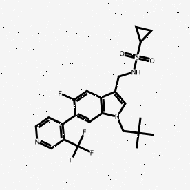 CC(C)(C)Cn1cc(CNS(=O)(=O)C2CC2)c2cc(F)c(-c3ccncc3C(F)(F)F)cc21